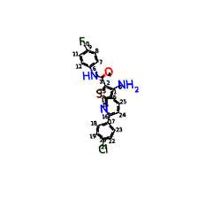 Nc1c(C(=O)Nc2ccc(F)cc2)sc2nc(-c3ccc(Cl)cc3)ccc12